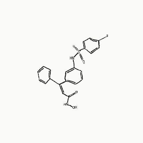 O=C(/C=C(/c1ccccc1)c1cccc(NS(=O)(=O)c2ccc(F)cc2)c1)NO